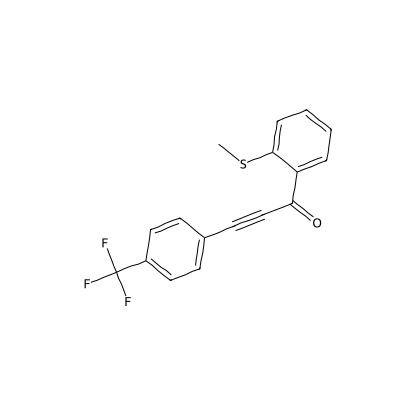 CSc1ccccc1C(=O)C#Cc1ccc(C(F)(F)F)cc1